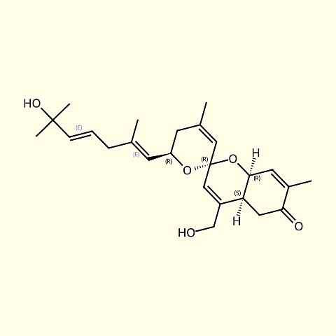 CC1=C[C@@]2(C=C(CO)[C@@H]3CC(=O)C(C)=C[C@@H]3O2)O[C@@H](/C=C(\C)C/C=C/C(C)(C)O)C1